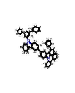 c1ccc(-c2cc(-c3ccccc3)cc(-n3c4ccccc4c4cc(-c5ccc6c(c5)c5c(-c7ccccc7)cccc5n6-c5ccccc5-c5ccccc5)ccc43)c2)cc1